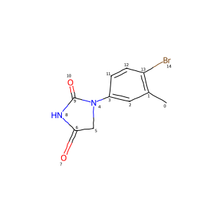 Cc1cc(N2CC(=O)NC2=O)ccc1Br